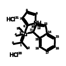 C[C](C)=[Zr]([CH3])([CH3])([c]1ccc[nH]1)[CH]1C=Cc2ccccc21.Cl.Cl